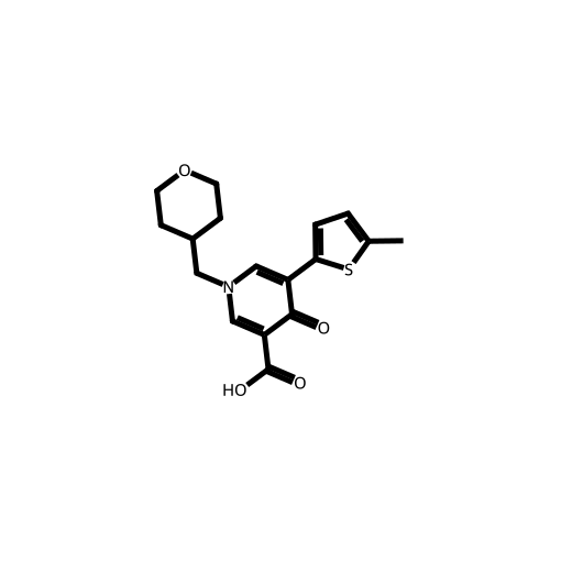 Cc1ccc(-c2cn(CC3CCOCC3)cc(C(=O)O)c2=O)s1